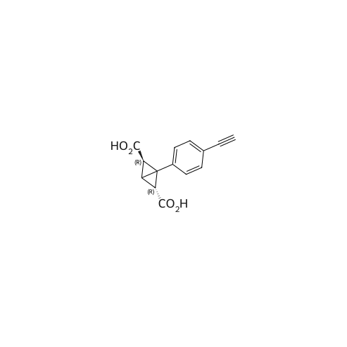 C#Cc1ccc(C23C([C@H]2C(=O)O)[C@H]3C(=O)O)cc1